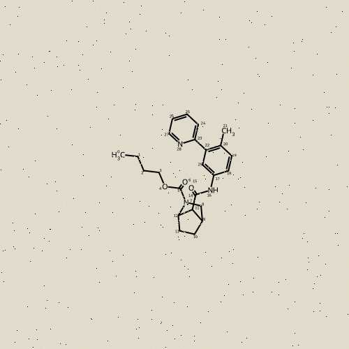 CCCCOC(=O)N1CC2CCC1C2C(=O)Nc1ccc(C)c(-c2ccccn2)c1